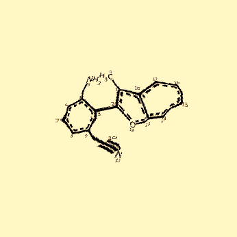 Cc1c(-c2c(N)cccc2C#N)oc2ccccc12